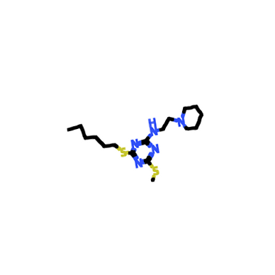 CCCCCCSc1nc(NCCN2CCCCC2)nc(SC)n1